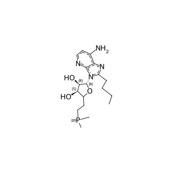 C=P(C)(C)CCC1O[C@@H](n2c(CCCC)nc3c(N)ccnc32)[C@H](O)[C@@H]1O